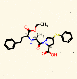 CCOC(=O)[C@H](CCc1ccccc1)N[C@@H](C)C(=O)N1CC(Sc2ccccc2)C[C@H]1C(=O)O